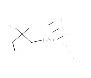 O=C(O)O.O=C(O)O.O=C(O)O.O=C([O-])CC(O)(CC(=O)[O-])C(=O)[O-].[Na+].[Na+].[Na+]